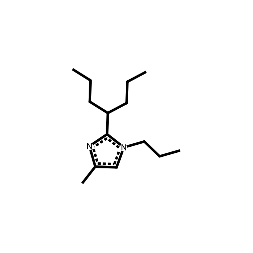 CCCC(CCC)c1nc(C)cn1CCC